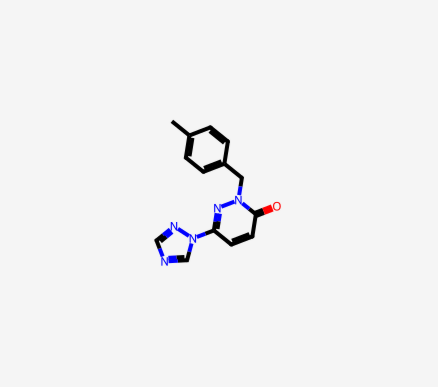 Cc1ccc(Cn2nc(-n3cncn3)ccc2=O)cc1